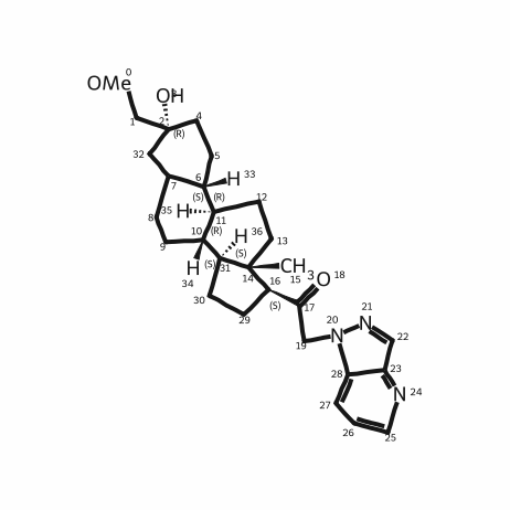 COC[C@@]1(O)CC[C@H]2C(CC[C@@H]3[C@@H]2CC[C@]2(C)[C@@H](C(=O)Cn4ncc5ncccc54)CC[C@@H]32)C1